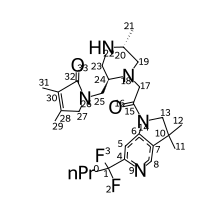 CCCC(F)(F)c1cc2c(cn1)C(C)(C)CN2C(=O)CN1C[C@@H](C)NC[C@@H]1CN1CC(C)=C(C)C1=O